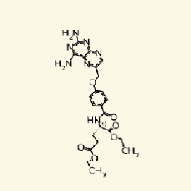 CCOC(=O)CC[C@H](NC(=O)c1ccc(OCc2cnc3nc(N)nc(N)c3n2)cc1)C(=O)OCC